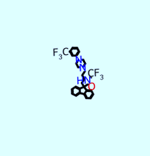 O=C(NCC(F)(F)F)C1(CCCCN2CCN(c3cccc(C(F)(F)F)c3)CC2)c2ccccc2-c2ccccc21